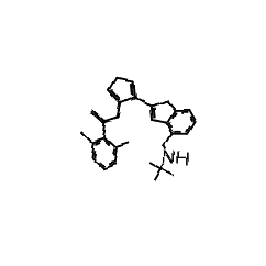 C=C(CC1=CCC=C1C1=Cc2c(CNC(C)(C)C)cccc2C1)c1c(C)cccc1C